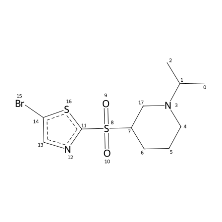 CC(C)N1CCCC(S(=O)(=O)c2ncc(Br)s2)C1